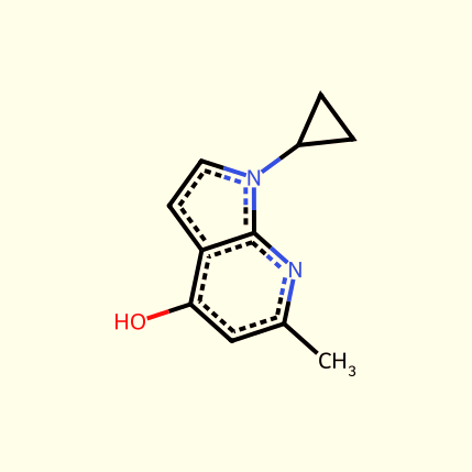 Cc1cc(O)c2ccn(C3CC3)c2n1